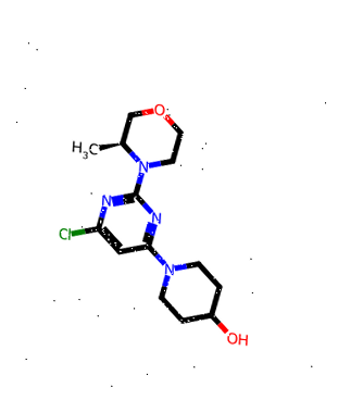 C[C@H]1COCCN1c1nc(Cl)cc(N2CCC(O)CC2)n1